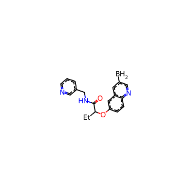 Bc1cnc2ccc(OC(CC)C(=O)NCc3cccnc3)cc2c1